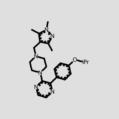 Cc1nn(C)c(C)c1CN1CCN(c2nccnc2-c2ccc(OC(C)C)cc2)CC1